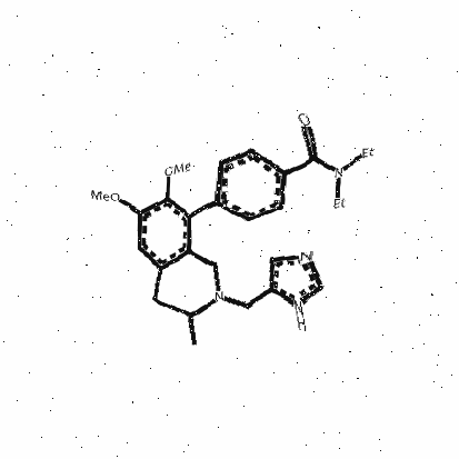 CCN(CC)C(=O)c1ccc(-c2c3c(cc(OC)c2OC)CC(C)N(Cc2cnc[nH]2)C3)cc1